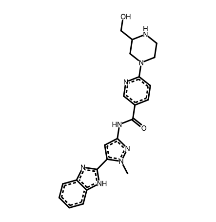 Cn1nc(NC(=O)c2ccc(N3CCNC(CO)C3)nc2)cc1-c1nc2ccccc2[nH]1